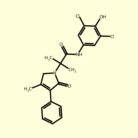 CC1=C(c2ccccc2)C(=O)N(C(C)(C)C(=O)Nc2cc(Cl)c(O)c(Cl)c2)C1